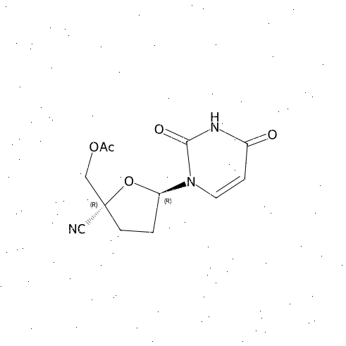 CC(=O)OC[C@]1(C#N)CC[C@H](n2ccc(=O)[nH]c2=O)O1